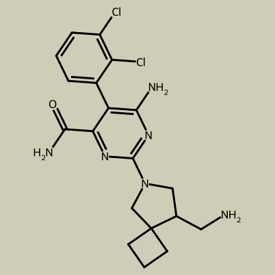 NCC1CN(c2nc(N)c(-c3cccc(Cl)c3Cl)c(C(N)=O)n2)CC12CCC2